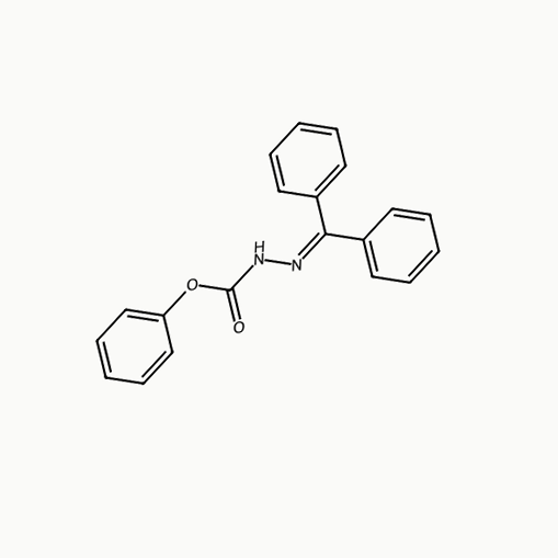 O=C(NN=C(c1ccccc1)c1ccccc1)Oc1ccccc1